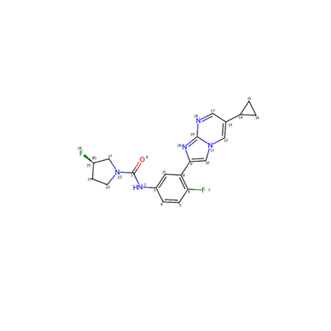 O=C(Nc1ccc(F)c(-c2cn3cc(C4CC4)cnc3n2)c1)N1CC[C@@H](F)C1